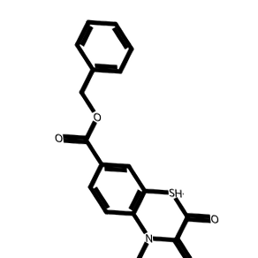 CN1C(=O)C(=O)[SH]c2cc(C(=O)OCc3ccccc3)ccc21